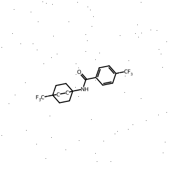 O=C(NC12CCC(C(F)(F)F)(CC1)CC2)c1ccc(C(F)(F)F)cc1